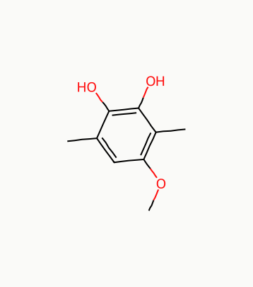 COc1cc(C)c(O)c(O)c1C